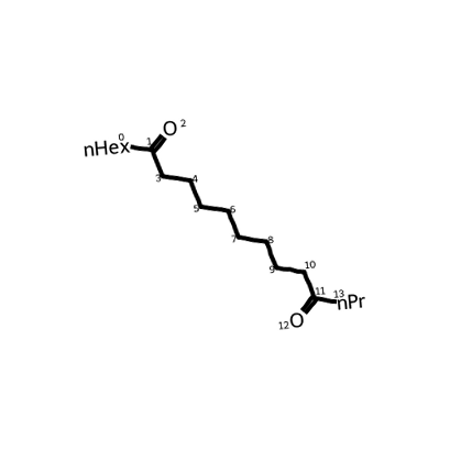 CCCCCCC(=O)CCCCCCCCC(=O)CCC